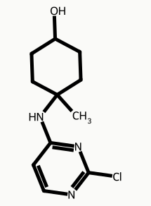 CC1(Nc2ccnc(Cl)n2)CCC(O)CC1